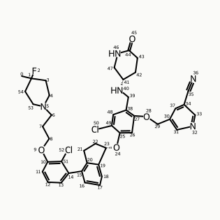 CC1(F)CCN(CCCOc2cccc(-c3cccc4c3CC[C@@H]4Oc3cc(OCc4cncc(C#N)c4)c(CN[C@H]4CCC(=O)NC4)cc3Cl)c2Cl)CC1